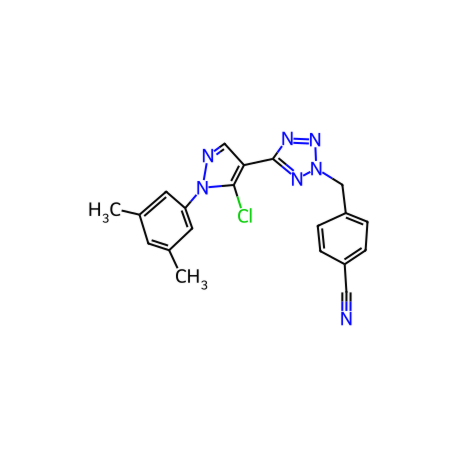 Cc1cc(C)cc(-n2ncc(-c3nnn(Cc4ccc(C#N)cc4)n3)c2Cl)c1